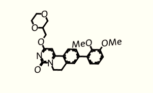 COc1cccc(-c2ccc3c(c2)CCn2c-3cc(OCC3COCCO3)nc2=O)c1OC